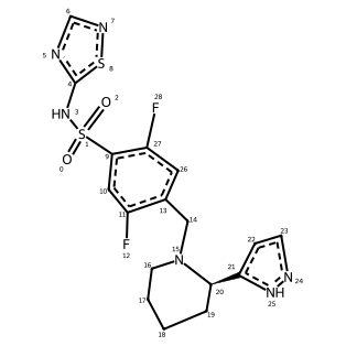 O=S(=O)(Nc1ncns1)c1cc(F)c(CN2CCCC[C@@H]2c2ccn[nH]2)cc1F